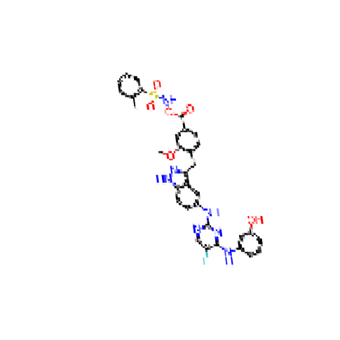 COc1cc(C(=O)ONS(=O)(=O)c2ccccc2C)ccc1Cc1n[nH]c2ccc(Nc3ncc(F)c(Nc4cccc(O)c4)n3)cc12